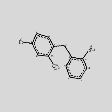 CCc1ccc(Cc2ccccc2C(C)(C)C)c(C(F)(F)F)c1